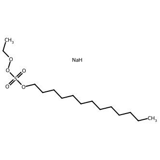 CCCCCCCCCCCCCOS(=O)(=O)OOCC.[NaH]